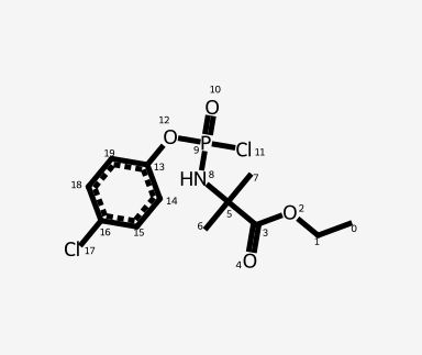 CCOC(=O)C(C)(C)NP(=O)(Cl)Oc1ccc(Cl)cc1